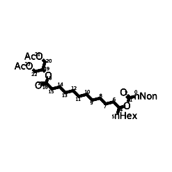 CCCCCCCCCC(=O)OC(CCCCCC)CCCCCCCCCCC(=O)OC(COC(C)=O)COC(C)=O